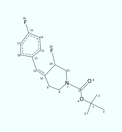 CC(C)(C)OC(=O)N1CCC(=Cc2ccc(F)cc2)C(F)C1